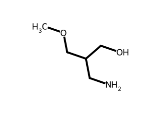 COCC(CN)CO